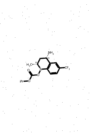 CC(C)OC(=O)ON1c2ccc(C(F)(F)F)cc2[C@@H](N)C[C@H]1C